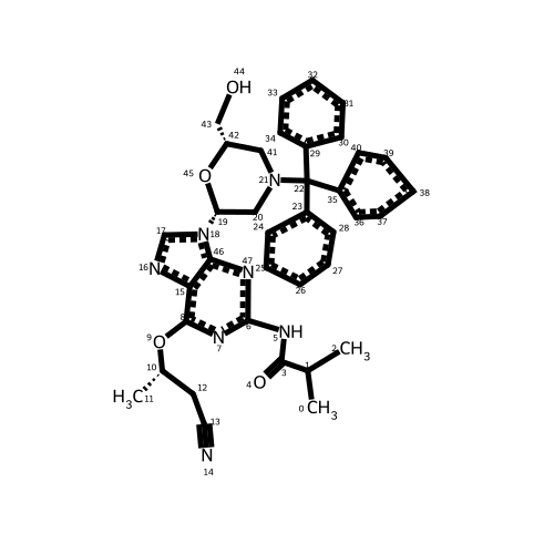 CC(C)C(=O)Nc1nc(O[C@@H](C)CC#N)c2ncn([C@H]3CN(C(c4ccccc4)(c4ccccc4)c4ccccc4)C[C@@H](CO)O3)c2n1